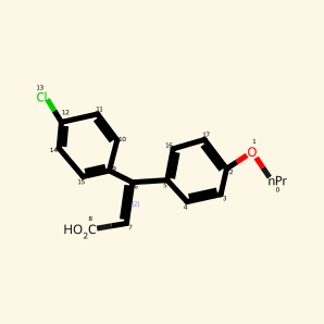 CCCOc1ccc(/C(=C/C(=O)O)c2ccc(Cl)cc2)cc1